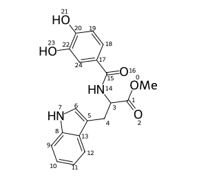 COC(=O)C(Cc1c[nH]c2ccccc12)NC(=O)c1ccc(O)c(O)c1